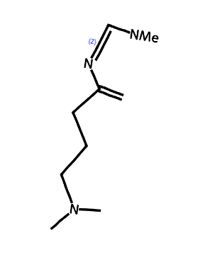 C=C(CCCN(C)C)/N=C\NC